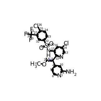 CO/N=C(\c1ccnc(N)c1)c1ncc(Cl)cc1NS(=O)(=O)c1ccc(Cl)c(C(F)(F)F)c1